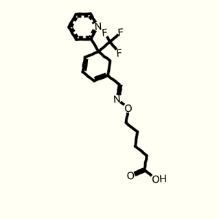 O=C(O)CCCCON=CC1=CC=CC(c2ccccn2)(C(F)(F)F)C1